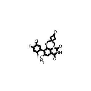 Cc1cc2c(=O)[nH]c(=O)n3c2c(c1-c1cc(Cl)c(F)cc1F)SCC1(CC(=O)C1)C3